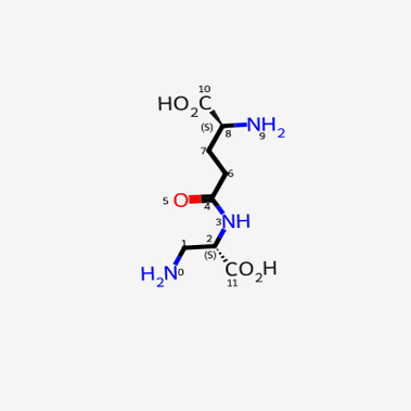 NC[C@H](NC(=O)CC[C@H](N)C(=O)O)C(=O)O